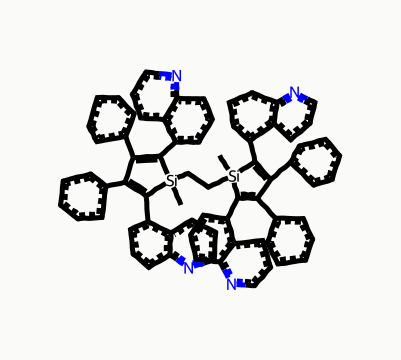 C[Si]1(CC[Si]2(C)C(c3cccc4ncccc34)=C(c3ccccc3)C(c3ccccc3)=C2c2cccc3ncccc23)C(c2cccc3ncccc23)=C(c2ccccc2)C(c2ccccc2)=C1c1cccc2ncccc12